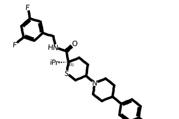 CC(C)[C@]1(C(=O)NCc2cc(F)cc(F)c2)CCC(N2CCC(c3ccc(F)cc3)CC2)CS1